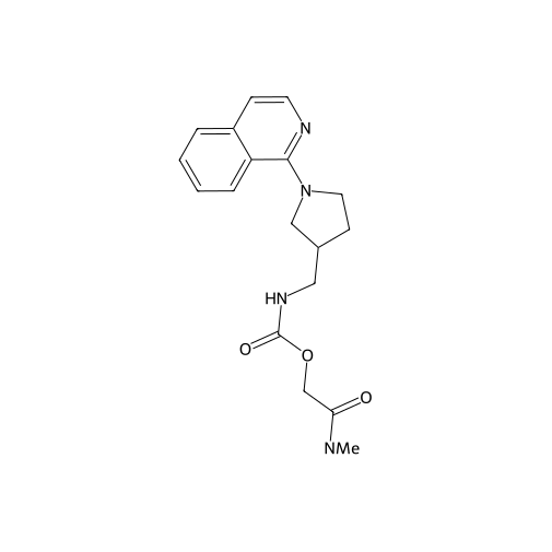 CNC(=O)COC(=O)NCC1CCN(c2nccc3ccccc23)C1